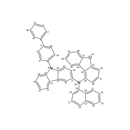 c1ccc(-c2ccc(-n3c4ccccc4c4cc(N(c5cccc6ccccc56)c5cccc6oc7ccccc7c56)ccc43)cc2)cc1